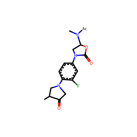 CC(=O)N(C)C1CN(c2ccc(N3CC(=O)C(C)C3)c(F)c2)C(=O)O1